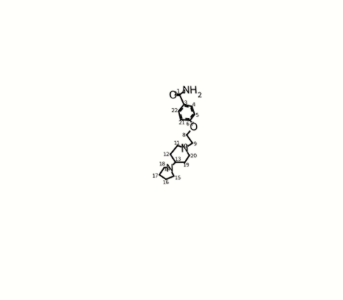 NC(=O)c1ccc(OCCN2CCC(N3CCCC3)CC2)cc1